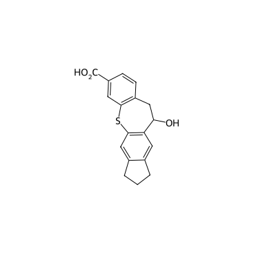 O=C(O)c1ccc2c(c1)Sc1cc3c(cc1C(O)C2)CCC3